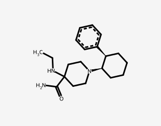 CCNC1(C(N)=O)CCN([C@@H]2CCCC[C@@H]2c2ccccc2)CC1